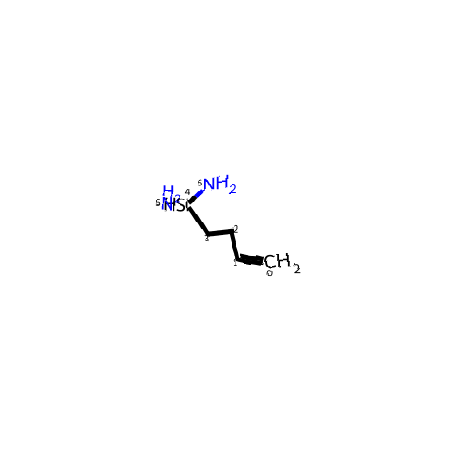 C=CCC[SiH](N)N